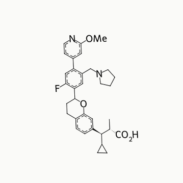 COc1cc(-c2cc(F)c(C3CCc4ccc([C@H](C5CC5)[C@H](C)C(=O)O)cc4O3)cc2CN2CCCC2)ccn1